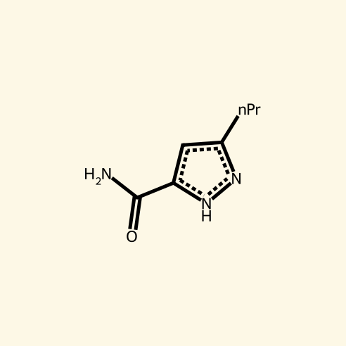 CCCc1cc(C(N)=O)[nH]n1